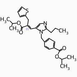 CCCc1ncc(/C=C(\Cc2cccs2)C(=O)OC(C)C)n1Cc1ccc(C(=O)OC(C)C)cc1